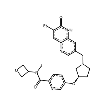 CCc1cc2ncc(CN3CC[C@@H](Oc4ccc(C(=O)N(I)C5COC5)nc4)C3)cc2[nH]c1=O